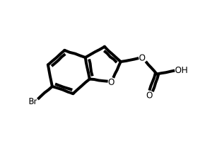 O=C(O)Oc1cc2ccc(Br)cc2o1